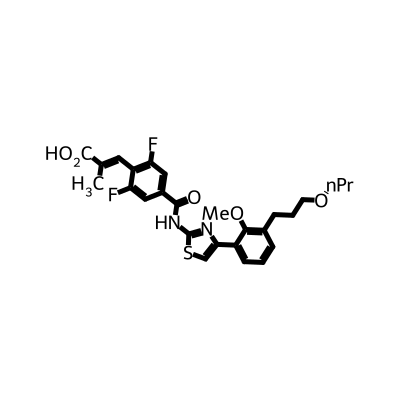 CCCOCCCc1cccc(-c2csc(NC(=O)c3cc(F)c(C=C(C)C(=O)O)c(F)c3)n2)c1OC